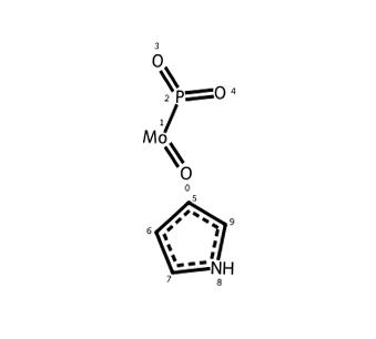 [O]=[Mo][P](=O)=O.c1cc[nH]c1